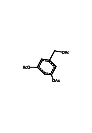 CC(=O)OCc1cc(OC(C)=O)[c]c(OC(C)=O)c1